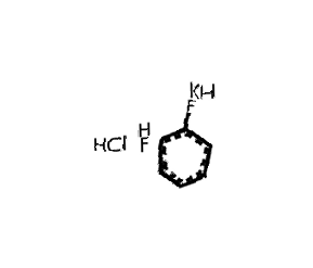 Cl.F.Fc1ccccc1.[KH]